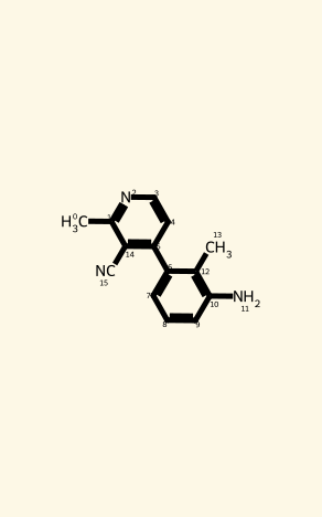 Cc1nccc(-c2cccc(N)c2C)c1C#N